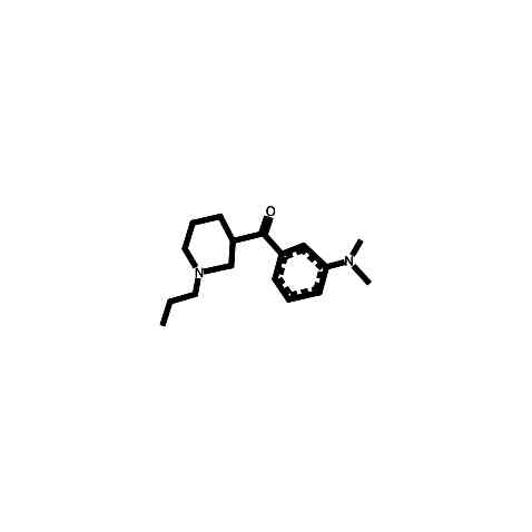 CCCN1CCCC(C(=O)c2cccc(N(C)C)c2)C1